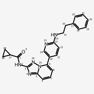 O=C(Nc1nc2cccc(-c3ccc(NCCc4ccccc4)nc3)n2n1)C1CC1